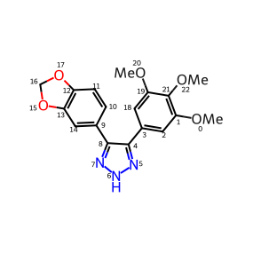 COc1cc(-c2n[nH]nc2-c2ccc3c(c2)OCO3)cc(OC)c1OC